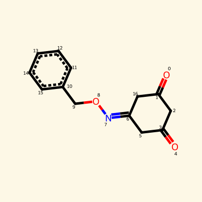 O=C1CC(=O)CC(=NOCc2ccccc2)C1